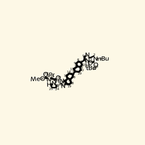 CCCCN(Cc1ncc(-c2ccc3cc(-c4ccc5c(ccc6nc([C@@H]7CCCN7C(=O)[C@@H](NC(=O)OC)C(C)C)[nH]c65)c4)ccc3c2)[nH]1)C(=O)OC(C)(C)C